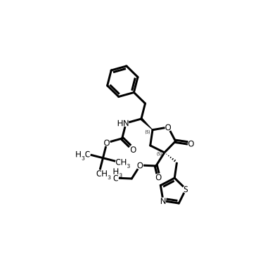 CCOC(=O)[C@@]1(Cc2cncs2)C[C@@H](C(Cc2ccccc2)NC(=O)OC(C)(C)C)OC1=O